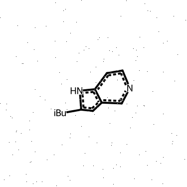 CCC(C)c1cc2cnccc2[nH]1